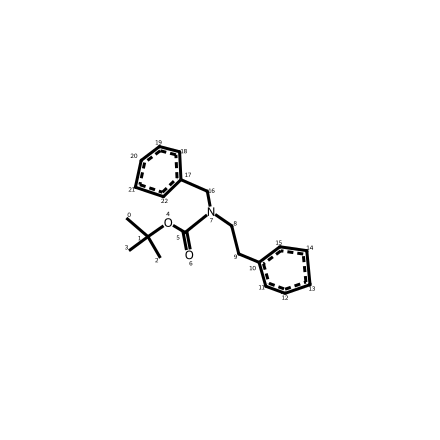 CC(C)(C)OC(=O)N(CCc1c[c]ccc1)Cc1ccccc1